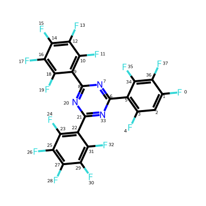 Fc1cc(F)c(-c2nc(-c3c(F)c(F)c(F)c(F)c3F)nc(-c3c(F)c(F)c(F)c(F)c3F)n2)c(F)c1F